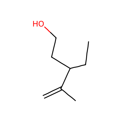 C=C(C)C(CC)CCO